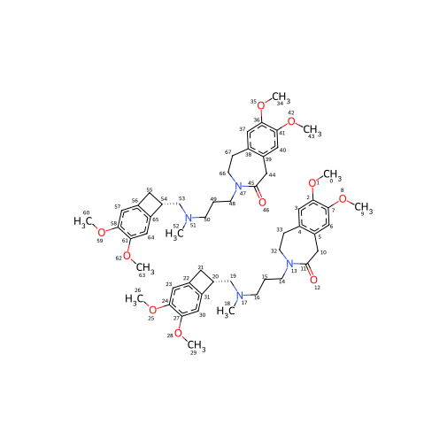 COc1cc2c(cc1OC)CC(=O)N(CCCN(C)C[C@H]1Cc3cc(OC)c(OC)cc31)CC2.COc1cc2c(cc1OC)CC(=O)N(CCCN(C)C[C@H]1Cc3cc(OC)c(OC)cc31)CC2